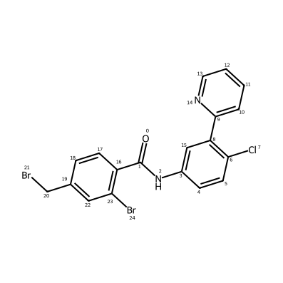 O=C(Nc1ccc(Cl)c(-c2ccccn2)c1)c1ccc(CBr)cc1Br